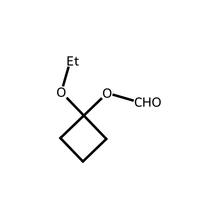 CCOC1(OC=O)CCC1